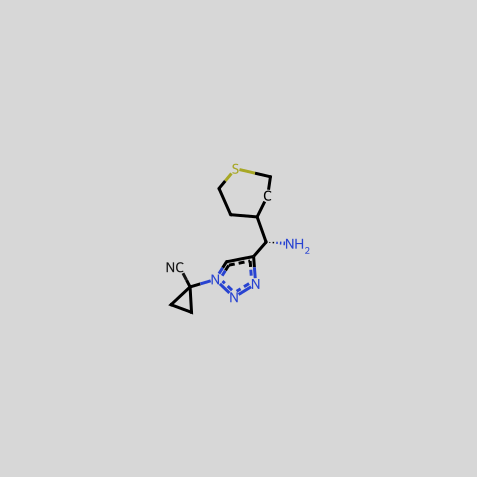 N#CC1(n2cc([C@@H](N)C3CCSCC3)nn2)CC1